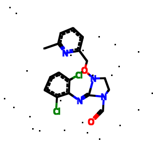 Cc1cccc(CON2CCN(C=O)C2=Nc2c(Cl)cccc2Cl)n1